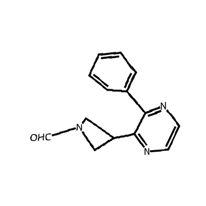 O=CN1CC(c2nccnc2-c2ccccc2)C1